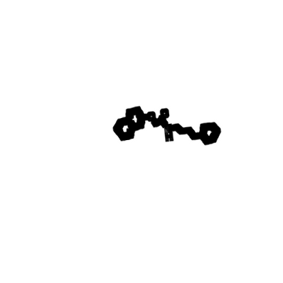 O=C(COc1ccc2ccccc2c1)NCCCCc1ccccc1